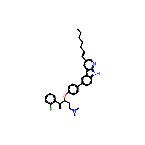 C=C(c1ccccc1F)C(CCN(C)C)Oc1ccc(-c2ccc3[nH]c4ncc(C=CCCCCC)cc4c3c2)cc1